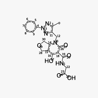 Cc1nn(-c2ccccc2)nc1Cn1c2c(c(O)c(C(=O)NCC(=O)O)c1=O)COC2